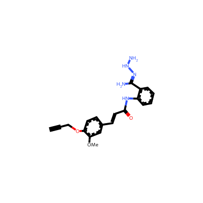 C#CCOc1ccc(/C=C/C(=O)Nc2ccccc2/C(N)=N/NN)cc1OC